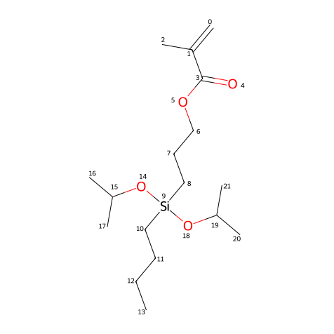 C=C(C)C(=O)OCCC[Si](CCCC)(OC(C)C)OC(C)C